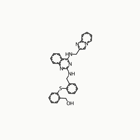 OCc1ccccc1Sc1ccccc1CNc1nc(NCc2cn3ccccc3n2)c2ccccc2n1